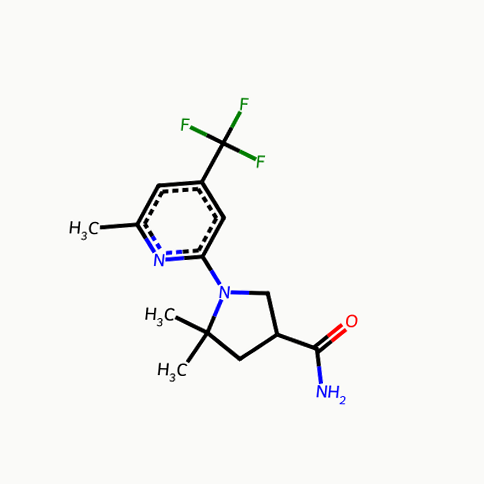 Cc1cc(C(F)(F)F)cc(N2CC(C(N)=O)CC2(C)C)n1